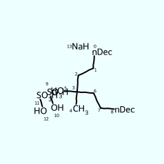 CCCCCCCCCCCCC(C)(O)CCCCCCCCCCCC.O=S(=O)(O)O.O=S(=O)(O)O.[NaH]